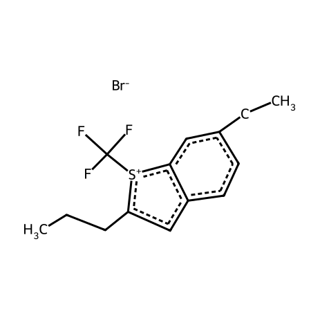 CCCc1cc2ccc(CC)cc2[s+]1C(F)(F)F.[Br-]